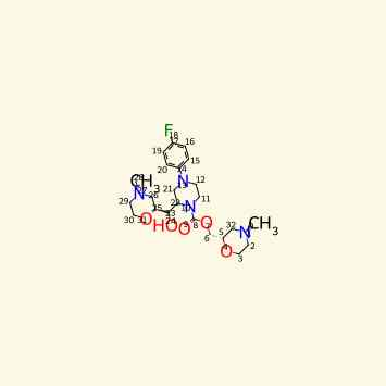 CN1CCO[C@H](COC(=O)N2CCN(c3ccc(F)cc3)CC2C(O)[C@@H]2CN(C)CCO2)C1